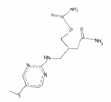 CSc1cnc(NCC(COC(N)=O)CC(N)=O)nc1